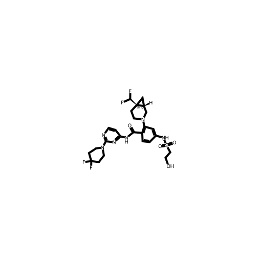 O=C(Nc1ccnc(N2CCC(F)(F)CC2)n1)c1ccc(NS(=O)(=O)CCO)cc1N1CC[C@]2(C(F)F)C[C@@H]2C1